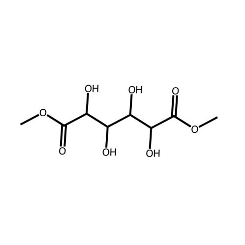 COC(=O)C(O)C(O)C(O)C(O)C(=O)OC